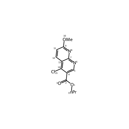 CCCOC(=O)c1cnc2nc(OC)ccc2c1Cl